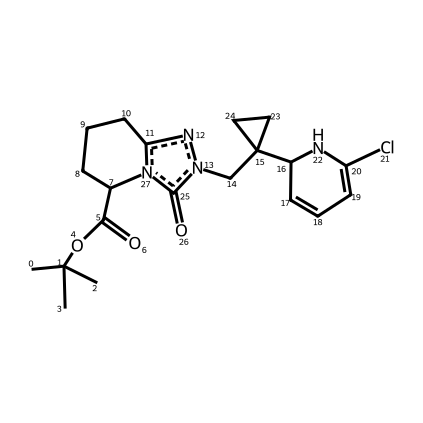 CC(C)(C)OC(=O)C1CCCc2nn(CC3(C4C=CC=C(Cl)N4)CC3)c(=O)n21